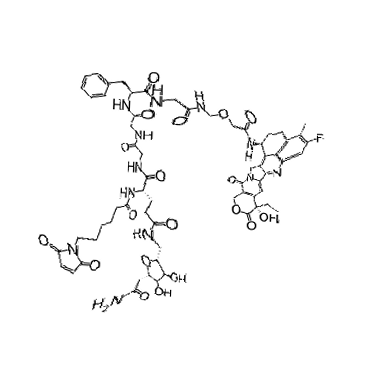 CC[C@@]1(O)C(=O)OCc2c1cc1n(c2=O)Cc2c-1nc1cc(F)c(C)c3c1c2[C@@H](NC(=O)COCNC(=O)CNC(=O)[C@H](Cc1ccccc1)NC(=O)CNC(=O)CNC(=O)[C@H](CCC(=O)NC[C@H]1O[C@@H](CC(N)=O)[C@H](O)[C@@H]1O)NC(=O)CCCCCN1C(=O)C=CC1=O)CC3